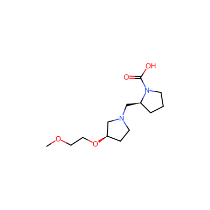 COCCO[C@@H]1CCN(C[C@@H]2CCCN2C(=O)O)C1